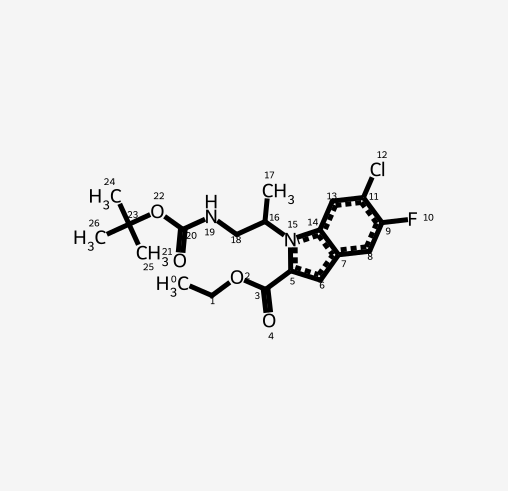 CCOC(=O)c1cc2cc(F)c(Cl)cc2n1C(C)CNC(=O)OC(C)(C)C